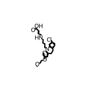 COCCOc1ccc2c(c1)CCc1ccc(Cl)cc1N2CCCCNCC=CC(=O)O